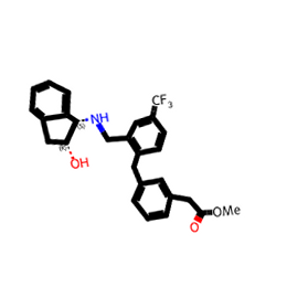 COC(=O)Cc1cccc(Cc2ccc(C(F)(F)F)cc2CN[C@H]2c3ccccc3C[C@H]2O)c1